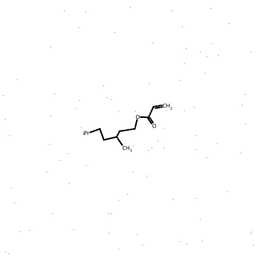 C=CC(=O)OCCC(C)CCC(C)C